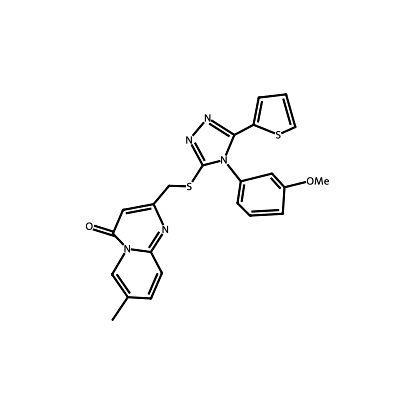 COc1cccc(-n2c(SCc3cc(=O)n4cc(C)ccc4n3)nnc2-c2cccs2)c1